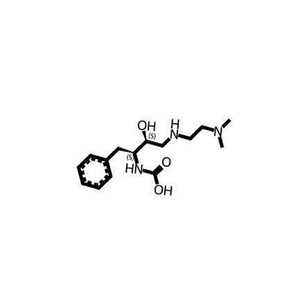 CN(C)CCNC[C@H](O)[C@H](Cc1ccccc1)NC(=O)O